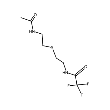 CC(=O)NCCSCCNC(=O)C(F)(F)F